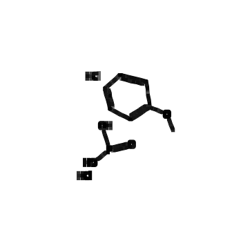 COc1ccccc1.Cl.Cl.O=[P](O)O